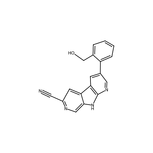 N#Cc1cc2c(cn1)[nH]c1ncc(-c3ccccc3CO)cc12